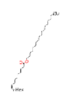 CCCCCC/C=C\CCCCCCCC(=O)OCCCCCCCCCCCCCCCCCC(C)CC